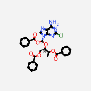 CC(OC(=O)c1ccccc1)[C@@H](COC(=O)c1ccccc1)O[C@@H](OC(=O)c1ccccc1)n1cnc2c(N)nc(Cl)nc21